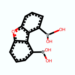 OB(O)c1cccc2oc3cccc(B(O)O)c3c12